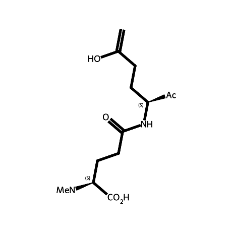 C=C(O)CC[C@H](NC(=O)CC[C@H](NC)C(=O)O)C(C)=O